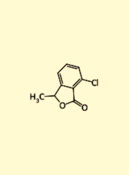 CC1OC(=O)c2c(Cl)cccc21